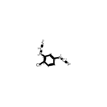 S=C=Nc1ccc(Cl)c(N=C=S)c1